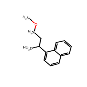 O=S(=O)(O)C(C[SiH2]O[SiH3])c1cccc2ccccc12